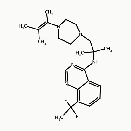 CC(C)=C(C)N1CCN(CC(C)(C)Nc2ncnc3c(C(C)(F)F)cccc23)CC1